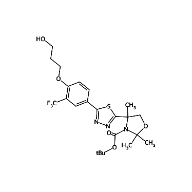 CC(C)(C)OC(=O)N1C(C)(C)OCC1(C)c1nnc(-c2ccc(OCCCO)c(C(F)(F)F)c2)s1